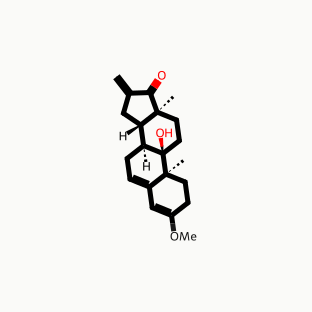 C=C1C[C@H]2[C@@H]3CC=C4C=C(OC)CC[C@]4(C)[C@@]3(O)CC[C@]2(C)C1=O